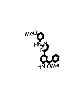 CO/C(=C1/C=C(c2ccnc(Nc3cccc(OC)c3)n2)C=CC1=N)c1ccccc1